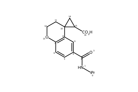 CC(C)NC(=O)c1ccc2c(c1)C1(CCO2)CC1C(=O)O